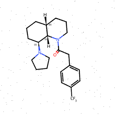 O=C(Cc1ccc(C(F)(F)F)cc1)N1CCC[C@H]2CCC[C@H](N3CCCC3)[C@H]21